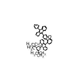 CC(C)(C)C1=CC(C(C)(C)C)CC(c2c3ccccc3c(-c3cccc4oc5cc(-c6c7ccccc7c(-c7ccccc7)c7ccccc67)ccc5c34)c3ccccc23)=C1